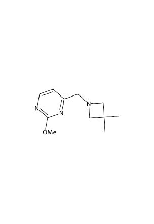 COc1nccc(CN2CC(C)(C)C2)n1